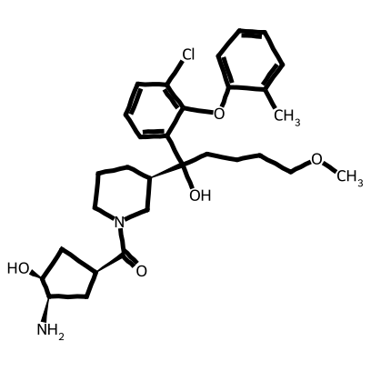 COCCCCC(O)(c1cccc(Cl)c1Oc1ccccc1C)[C@@H]1CCCN(C(=O)[C@H]2C[C@@H](N)[C@@H](O)C2)C1